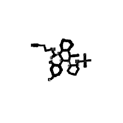 CS(=O)(=O)N[C@H]1CCCC[C@@H]1N1C(=O)c2ccccc2[C@@H](C(=O)NCCC#N)[C@@H]1c1ccc(Cl)cc1Cl